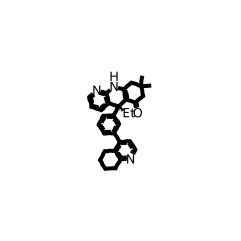 CC[C@]1(c2cccc(-c3ccnc4c3CCCC4)c2)C2=C(CC(C)(C)CC2=O)Nc2ncccc21